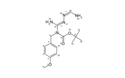 COc1ccc(CN(C(=O)OC(C)(C)C)/C(N)=N/N=C\N)cc1